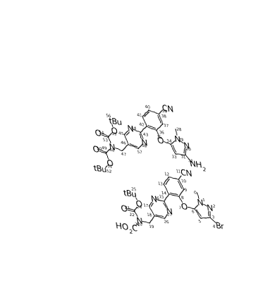 Cn1nc(Br)cc1Oc1cc(C#N)ccc1-c1ncc(CN(C(=O)O)C(=O)OC(C)(C)C)cn1.Cn1nc(N)cc1Oc1cc(C#N)ccc1-c1ncc(CN(C(=O)OC(C)(C)C)C(=O)OC(C)(C)C)cn1